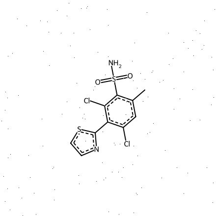 Cc1cc(Cl)c(-c2nccs2)c(Cl)c1S(N)(=O)=O